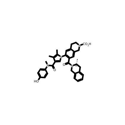 Cc1c(C(=O)N(C)c2ccc(O)cc2)cn(-c2cc3c(cc2C(=O)N2Cc4ccccc4C[C@H]2C)CN(C(=O)O)CC3)c1C